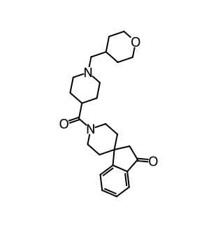 O=C1CC2(CCN(C(=O)C3CCN(CC4CCOCC4)CC3)CC2)c2ccccc21